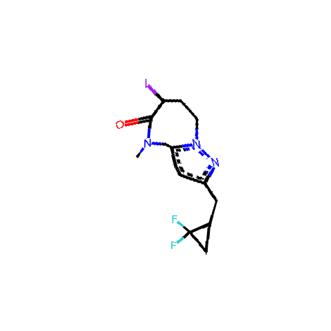 CN1C(=O)C(I)CCn2nc(CC3CC3(F)F)cc21